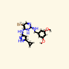 COc1cc(CNC2N=CC(Br)=C(Nc3cc(C4CC4)[nH]n3)N2)cc(OC)c1